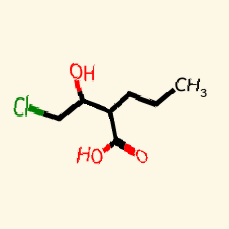 CCCC(C(=O)O)C(O)CCl